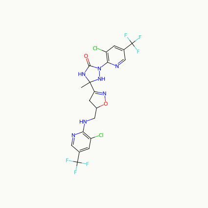 CC1(C2=NOC(CNc3ncc(C(F)(F)F)cc3Cl)C2)NC(=O)N(c2ncc(C(F)(F)F)cc2Cl)N1